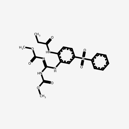 CCC(=O)Nc1ccc(S(=O)(=O)c2ccccc2)cc1NC(=NC(=O)OC)NC(=O)OC